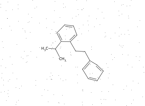 C[C](C)c1ccccc1CCc1ccccc1